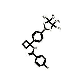 CC1(C)OB(c2ccc(C3(NC(=O)c4ccc(F)cc4)CCC3)cc2)OC1(C)C